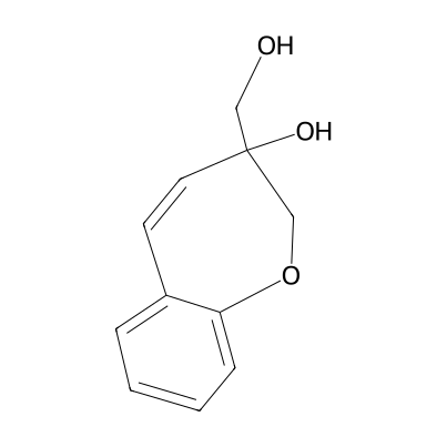 OCC1(O)C=Cc2ccccc2OC1